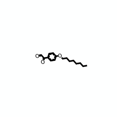 CCCCCCCCOc1ccc(C(=O)C=O)cc1